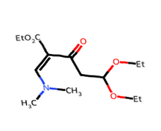 CCOC(=O)/C(=C/N(C)C)C(=O)CC(OCC)OCC